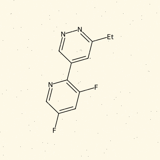 CCc1[c]c(-c2ncc(F)cc2F)cnn1